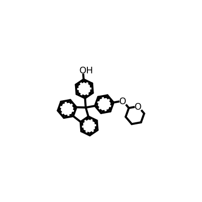 Oc1ccc(C2(c3ccc(OC4CCCCO4)cc3)c3ccccc3-c3ccccc32)cc1